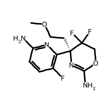 COCC[C@@]1(c2nc(N)ccc2F)N=C(N)OCC1(F)F